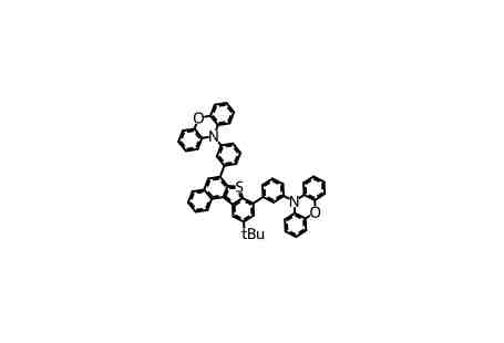 CC(C)(C)c1cc(-c2cccc(N3c4ccccc4Oc4ccccc43)c2)c2sc3c(-c4cccc(N5c6ccccc6Oc6ccccc65)c4)cc4ccccc4c3c2c1